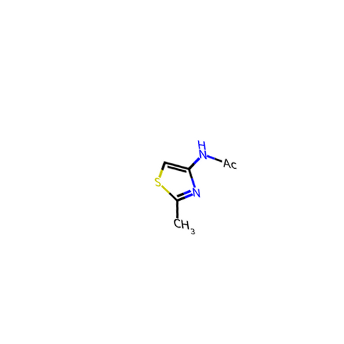 CC(=O)Nc1csc(C)n1